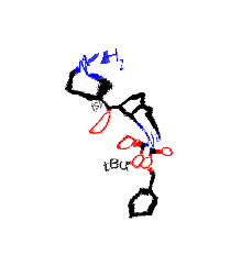 CC(C)(C)OC(=O)[N+]1(C(=O)OCc2ccccc2)C=Cc2ccc(C(=O)[C@H]3CCN(N)C3)cc21